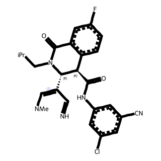 CN/C=C(\C=N)[C@H]1[C@H](C(=O)Nc2cc(Cl)cc(C#N)c2)c2ccc(F)cc2C(=O)N1CC(C)C